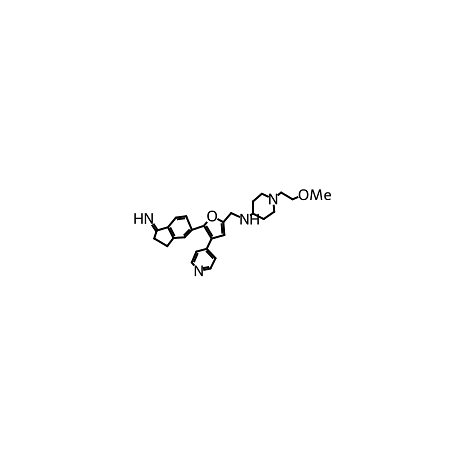 COCCN1CCC(NCc2cc(-c3ccncc3)c(-c3ccc4c(c3)CCC4=N)o2)CC1